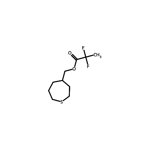 CC(F)(F)C(=O)OCC1CCCSCC1